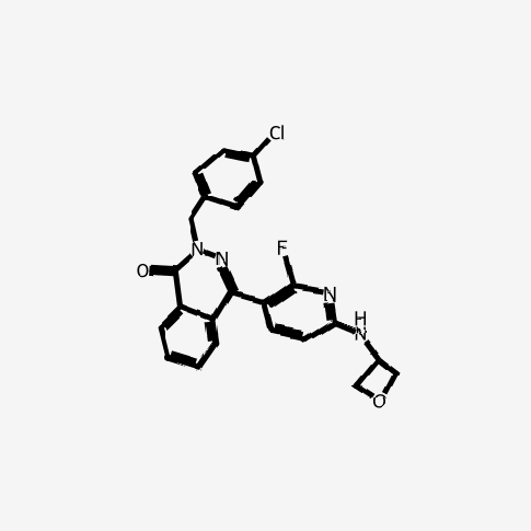 O=c1c2ccccc2c(-c2ccc(NC3COC3)nc2F)nn1Cc1ccc(Cl)cc1